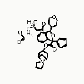 CC(C)CC(=O)OC(OC(C(=O)OC1CC2CCC(C1)[N+]21CCCC1)(c1ccccc1)c1ccccc1)C1CCOCC1.O=C[O-]